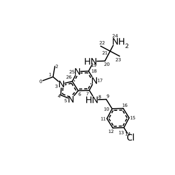 CC(C)n1cnc2c(NCc3ccc(Cl)cc3)nc(NCC(C)(C)N)nc21